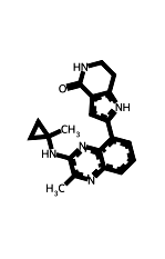 Cc1nc2cccc(-c3cc4c([nH]3)CCNC4=O)c2nc1NC1(C)CC1